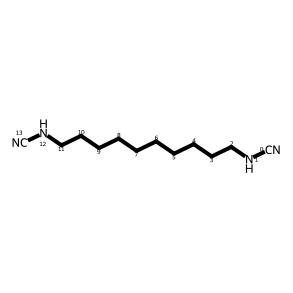 N#CNCCCCCCCCCCNC#N